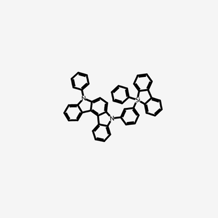 c1ccc(-n2c3ccccc3c3c4c5ccccc5n(-c5cccc([Si]6(c7ccccc7)c7ccccc7-c7ccccc76)c5)c4ccc32)cc1